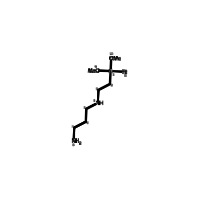 CC[Si](CCNCCCN)(OC)OC